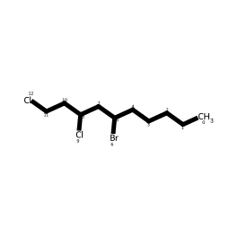 CCCCCC(Br)CC(Cl)CCCl